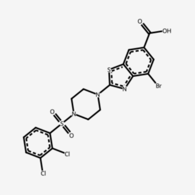 O=C(O)c1cc(Br)c2nc(N3CCN(S(=O)(=O)c4cccc(Cl)c4Cl)CC3)sc2c1